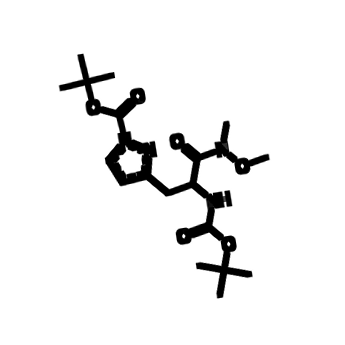 CON(C)C(=O)C(Cc1ccn(C(=O)OC(C)(C)C)n1)NC(=O)OC(C)(C)C